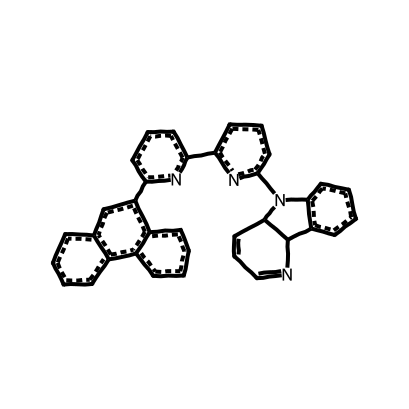 C1=CC2C(N=C1)c1ccccc1N2c1cccc(-c2cccc(-c3cc4ccccc4c4ccccc34)n2)n1